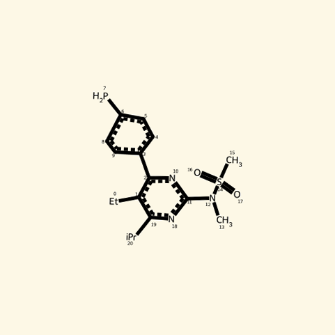 CCc1c(-c2ccc(P)cc2)nc(N(C)S(C)(=O)=O)nc1C(C)C